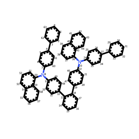 c1ccc(-c2ccc(N(c3ccc(-c4ccccc4-c4ccc(N(c5ccc(-c6ccccc6)cc5)c5cccc6ccccc56)cc4)cc3)c3cccc4ccccc34)cc2)cc1